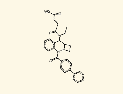 CCN(C(=O)CCC(=O)O)C1c2ccccc2N(C(=O)c2ccc(-c3ccccc3)cc2)C2CCC12